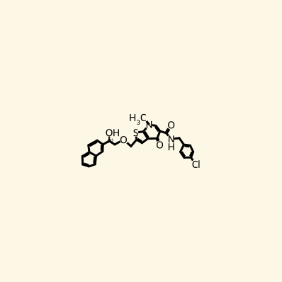 Cn1cc(C(=O)NCc2ccc(Cl)cc2)c(=O)c2cc(COC[C@H](O)c3ccc4ccccc4c3)sc21